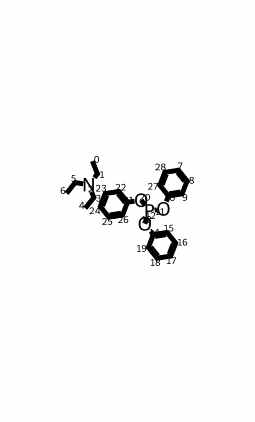 CCN(CC)CC.c1ccc(OP(Oc2ccccc2)Oc2ccccc2)cc1